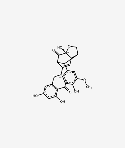 COc1cc(C2C3C(=O)[C@]4(O)OCC2C4C=C3[C@@H]2CC(=O)c3c(O)cc(O)cc3O2)ccc1O